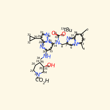 Cc1cc(C)n2cc(CN(C(=O)OC(C)(C)C)c3cc(NC[C@H]4CCN(C(=O)O)C[C@@H]4O)nc4c(C5CC5)cnn34)nc2c1